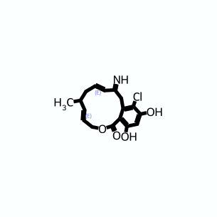 CC1/C=C/COC(=O)c2c(O)cc(O)c(Cl)c2CC(=N)/C=C/C1